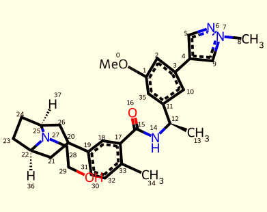 COc1cc(-c2cnn(C)c2)cc([C@@H](C)NC(=O)c2cc(C3C[C@H]4CC[C@@H](C3)N4CCO)ccc2C)c1